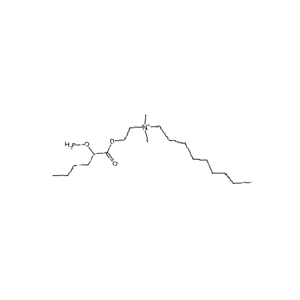 CCCCCCCCC[N+](C)(C)CCOC(=O)C(CCCC)OP